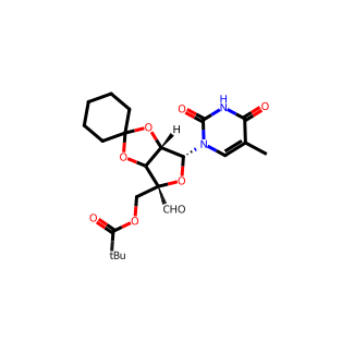 Cc1cn([C@@H]2O[C@](C=O)(COC(=O)C(C)(C)C)C3OC4(CCCCC4)O[C@@H]32)c(=O)[nH]c1=O